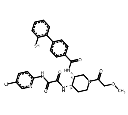 COCC(=O)N1CC[C@H](NC(=O)C(=O)Nc2ccc(Cl)cn2)[C@H](NC(=O)c2ccc(-c3ccccc3S)cc2)C1